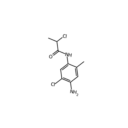 Cc1cc(N)c(Cl)cc1NC(=O)C(C)Cl